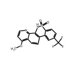 COc1ccnc2c3c(ccc12)-c1cc(C(F)(F)F)ccc1S(=O)(=O)N3